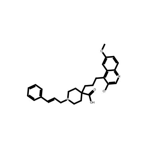 COc1ccc2ncc(Cl)c(CCCC3(C(=O)O)CCN(CC=Cc4ccccc4)CC3)c2c1